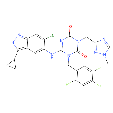 Cn1cnc(Cn2c(=O)nc(Nc3cc4c(C5CC5)n(C)nc4cc3Cl)n(Cc3cc(F)c(F)cc3F)c2=O)n1